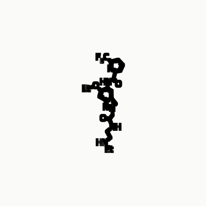 CCNCCNC(=O)Cn1cc2cc(NC(=O)c3cccc(C(F)(F)F)n3)c(OCC)cc2n1